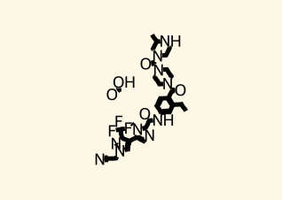 CCc1cc(NC(=O)c2ncc(-c3cn(CC#N)nc3C(F)(F)F)n2C)ccc1C(=O)N1CCN(C(=O)N2CCNC(C)C2)CC1.O=CO